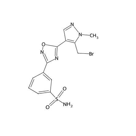 Cn1ncc(-c2nc(-c3cccc(S(N)(=O)=O)c3)no2)c1CBr